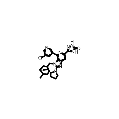 CC1CCC(Cn2c(N3CCC[C@H]3CF)nc3cc(-c4n[nH]c(=O)[nH]4)nc(-c4cncc(Cl)c4)c32)CC1